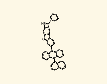 c1ccc(C2=[SH]c3cc4oc5cc(-c6c7ccccc7c(-c7cccc8ccccc78)c7ccccc67)ccc5c4cc32)cc1